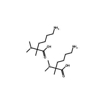 CN(C)C(C)(CCCCN)C(=O)O.CN(C)C(C)(CCCCN)C(=O)O